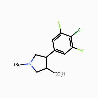 CC(C)(C)N1CC(C(=O)O)C(c2cc(F)c(Cl)c(F)c2)C1